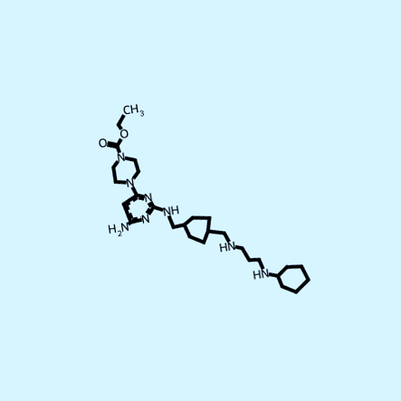 CCOC(=O)N1CCN(c2cc(N)nc(NCC3CCC(CNCCCNC4CCCCC4)CC3)n2)CC1